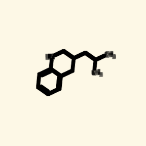 CC(C)CC1CNc2ccccc2C1